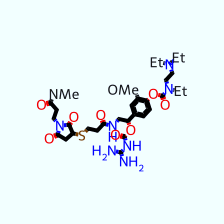 CCN(CC)CCN(CC)C(=O)Oc1ccc(C(CNC(=O)CCSC2CC(=O)N(CCC(=O)NC)C2=O)OC(=O)NC(N)N)cc1OC